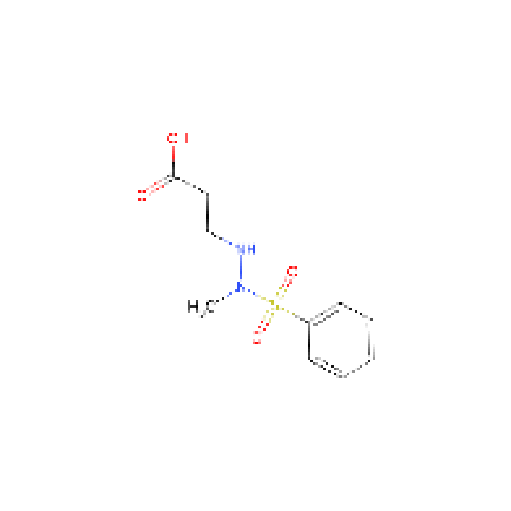 CN(NCCC(=O)O)S(=O)(=O)c1ccccc1